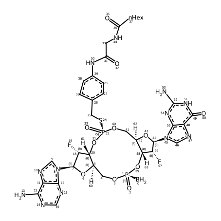 B[P@@]1(=O)OC[C@H]2O[C@@H](n3cnc4c(N)ncnc43)[C@H](F)[C@@H]2O[P@@](=O)(SCc2ccc(NC(=O)CNC(=O)CCCCCC)cc2)OC[C@H]2O[C@@H](n3cnc4c(=O)[nH]c(N)nc43)[C@H](F)[C@@H]2O1